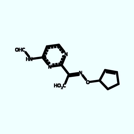 O=CNc1ccnc(C(=NOC2C=CCC2)C(=O)O)n1